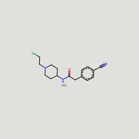 Cl.N#Cc1ccc(CC(=O)NC2CCN(CCCl)CC2)cc1